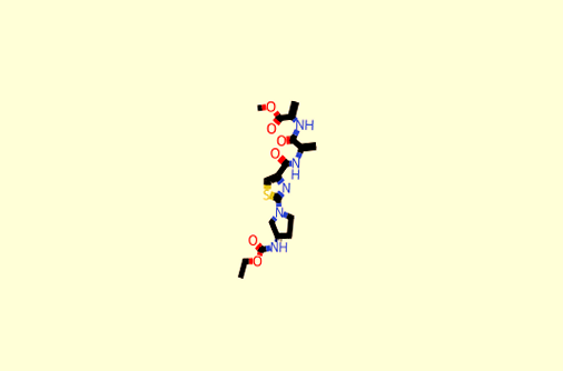 C=C(NC(=O)c1csc(N2CC[C@@H](NC(=O)OCC)C2)n1)C(=O)NC(=C)C(=O)OC